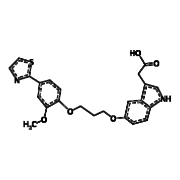 COc1cc(-c2nccs2)ccc1OCCCOc1ccc2[nH]cc(CC(=O)O)c2c1